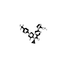 Cc1nccn1-c1cnc(C(=O)N(C2CC2)[C@@H]2CCN(c3ccc(C(F)(F)F)cn3)C[C@@H]2F)cn1